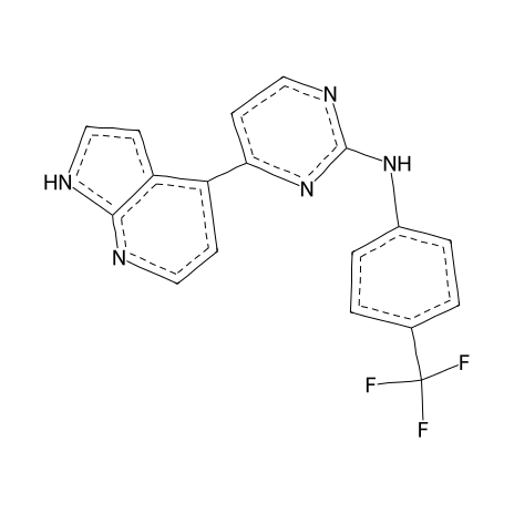 FC(F)(F)c1ccc(Nc2nccc(-c3ccnc4[nH]ccc34)n2)cc1